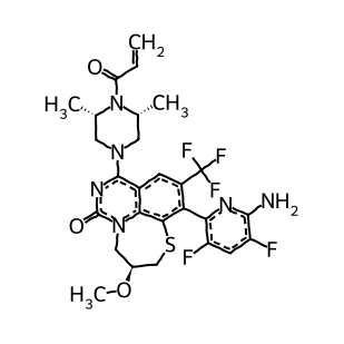 C=CC(=O)N1[C@H](C)CN(c2nc(=O)n3c4c(c(-c5nc(N)c(F)cc5F)c(C(F)(F)F)cc24)SC[C@@H](OC)C3)C[C@@H]1C